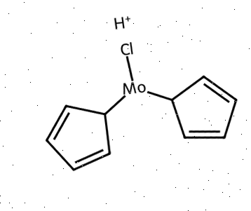 [Cl][Mo]([CH]1C=CC=C1)[CH]1C=CC=C1.[H+]